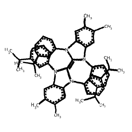 Cc1cc2c(cc1C)N(c1cccc(C(C)C)c1)C(=C1N(c3cccc(C(C)C)c3)c3cc(C)c(C)cc3N1c1cccc(C(C)C)c1)N2c1cccc(C(C)C)c1